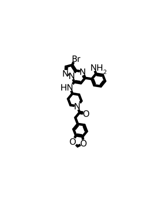 Nc1ccccc1-c1cc(NC2CCN(C(=O)Cc3ccc4c(c3)OCO4)CC2)n2ncc(Br)c2n1